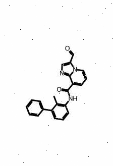 Cc1c(NC(=O)c2cccn3c(C=O)cnc23)cccc1-c1ccccc1